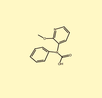 COc1ncccc1N(C(=O)O)c1ccccc1